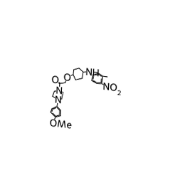 COc1ccc(N2CCN(C(=O)COC3CCC(Nc4ccc([N+](=O)[O-])c(C)c4)CC3)CC2)cc1